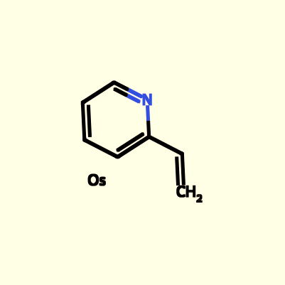 C=Cc1ccccn1.[Os]